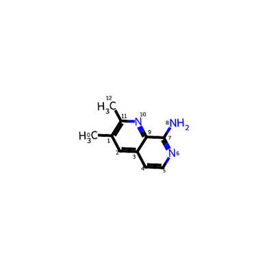 Cc1cc2ccnc(N)c2nc1C